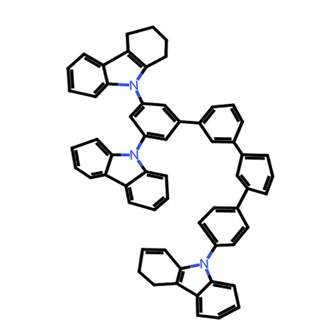 C1=Cc2c(c3ccccc3n2-c2ccc(-c3cccc(-c4cccc(-c5cc(-n6c7c(c8ccccc86)CCCC7)cc(-n6c7ccccc7c7ccccc76)c5)c4)c3)cc2)CC1